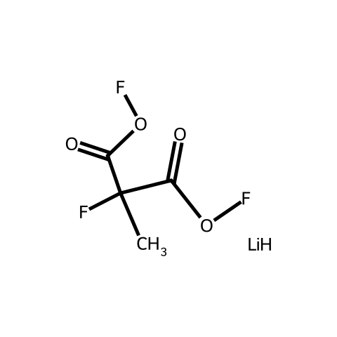 CC(F)(C(=O)OF)C(=O)OF.[LiH]